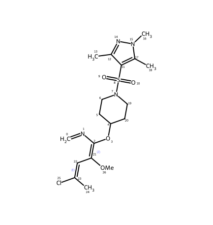 C=N/C(OC1CCN(S(=O)(=O)c2c(C)nn(C)c2C)CC1)=C(\C=C(/C)Cl)OC